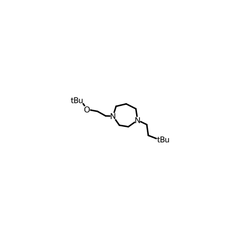 CC(C)(C)CCN1CCCN(CCOC(C)(C)C)CC1